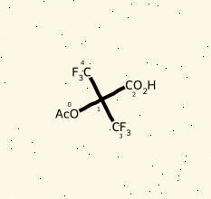 CC(=O)OC(C(=O)O)(C(F)(F)F)C(F)(F)F